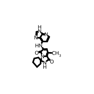 Cc1cc(Nc2ccnc3[nH]cnc23)c(=O)n2c1C(=O)NC21CCCCC1